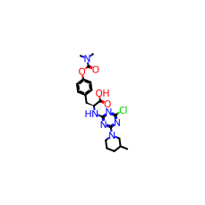 CC1CCCN(c2nc(Cl)nc(N[C@@H](Cc3ccc(OC(=O)N(C)C)cc3)C(=O)O)n2)C1